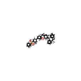 CC1(C)c2ccc(-c3ccc(S(=O)(=O)c4ccccc4)cc3)cc2Oc2cc(C3c4ccccc4C(C)(C)c4ccccc43)ccc21